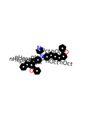 CCCCCCCCC1(CCCCCCCC)c2cc(N(c3ccncc3)c3ccc4c(c3)C(CCCCCCC)(CCCCCCC)c3c5c(c6oc7ccccc7c6c3-4)-c3ccccc3C5(CCCCCCC)CCCCCCC)ccc2-c2cc3c(cc21)-c1c(ccc2oc4ccccc4c12)C3(CCCCCCCC)CCCCCCCC